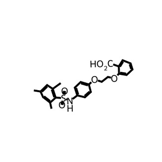 Cc1cc(C)c(S(=O)(=O)Nc2ccc(OCCOc3ccccc3C(=O)O)cc2)c(C)c1